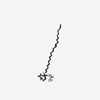 CCCCCCCCC=CCCCCCCCCCCCCOC(CC)(O[PH](=O)O)[PH](C)(C)C